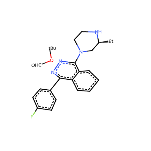 CC(C)(C)OC=O.CC[C@H]1CN(c2nnc(-c3ccc(F)cc3)c3ccccc23)CCN1